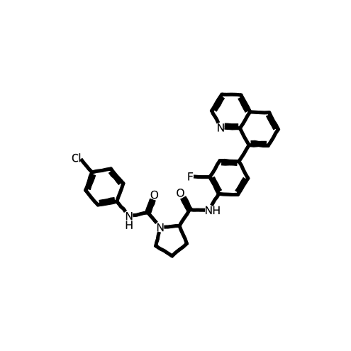 O=C(Nc1ccc(-c2cccc3cccnc23)cc1F)C1CCCN1C(=O)Nc1ccc(Cl)cc1